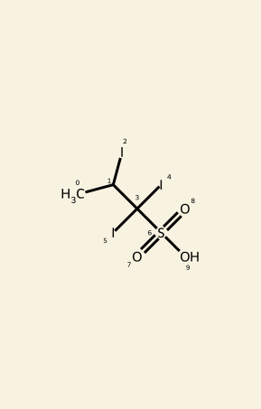 CC(I)C(I)(I)S(=O)(=O)O